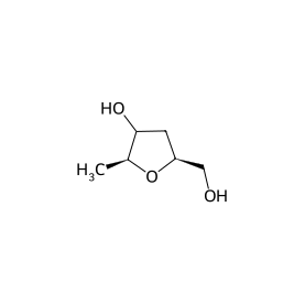 C[C@@H]1O[C@H](CO)CC1O